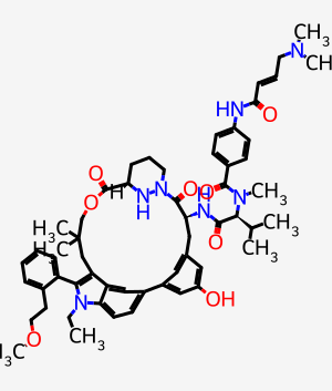 CCn1c(-c2ccccc2CCOC)c2c3cc(ccc31)-c1cc(O)cc(c1)C[C@H](NC(=O)[C@H](C(C)C)N(C)C(=O)c1ccc(NC(=O)/C=C/CN(C)C)cc1)C(=O)N1CCC[C@H](N1)C(=O)OCC(C)(C)C2